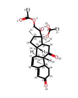 CCC(=O)OCC(=O)[C@]1(OC(=O)CC)[C@@H](C)C[C@H]2[C@@H]3C=CC4=CC(=O)CC[C@]4(C)[C@H]3C(=O)C[C@@]21C